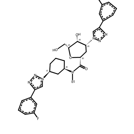 CCN(C(=O)[C@H]1C[C@@H](n2cc(-c3cccc(F)c3)nn2)[C@@H](O)[C@@H](CO)O1)[C@@H]1CCC[C@H](n2cc(-c3cccc(F)c3)nn2)C1